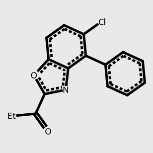 CCC(=O)c1nc2c(-c3ccccc3)c(Cl)ccc2o1